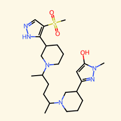 CC(CCC(C)N1CCCC(c2[nH]ncc2S(C)(=O)=O)C1)N1CCCC(c2cc(O)n(C)n2)C1